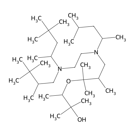 CC(C)CC(C)N(CCN(CC(C)C(C)(C)C)C(C)CC(C)(C)C)CC(C)C(C)(C)OC(C)C(C)(C)O